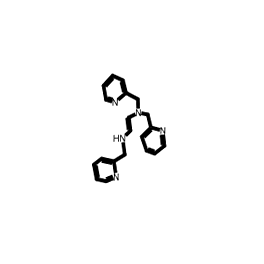 C(=CN(Cc1ccccn1)Cc1ccccn1)NCc1ccccn1